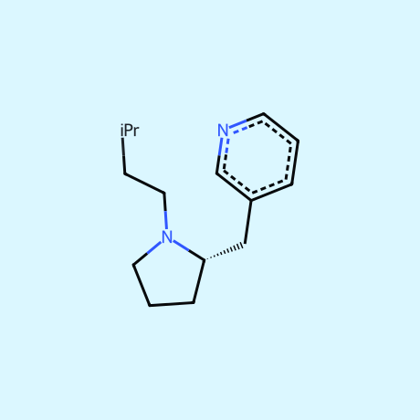 CC(C)CCN1CCC[C@H]1Cc1cccnc1